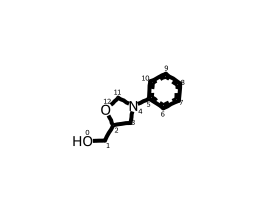 OCC1CN(c2ccccc2)CO1